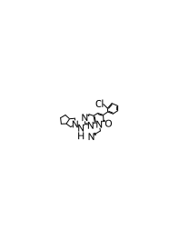 N#CCn1c(=O)c(-c2ccccc2Cl)cc2cnc(NN3CC4CCCC4C3)nc21